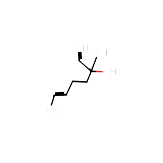 C=CC(C)(O)CC/C=C/C